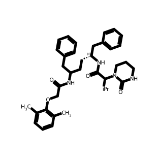 Cc1cccc(C)c1OCC(=O)NC(CC[C@H](Cc1ccccc1)NC(=O)C(C(C)C)N1CCCNC1=O)Cc1ccccc1